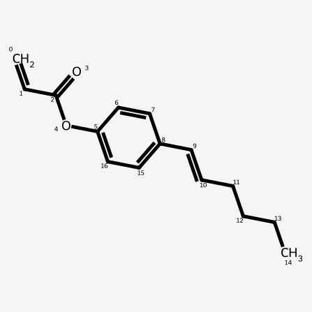 C=CC(=O)Oc1ccc(C=CCCCC)cc1